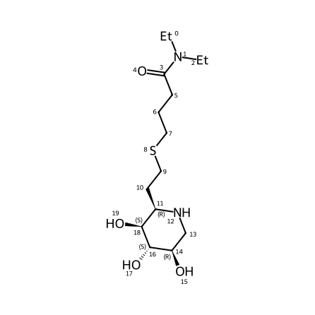 CCN(CC)C(=O)CCCSCC[C@H]1NC[C@@H](O)[C@H](O)[C@H]1O